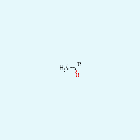 CC=O.[Ti]